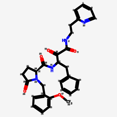 O=C(NCCc1ccccn1)C(=O)C(Cc1ccccc1)NC(=O)[C@@H]1CCC(=O)N1Cc1ccccc1OC(F)(F)F